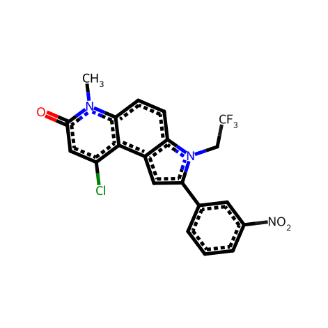 Cn1c(=O)cc(Cl)c2c3cc(-c4cccc([N+](=O)[O-])c4)n(CC(F)(F)F)c3ccc21